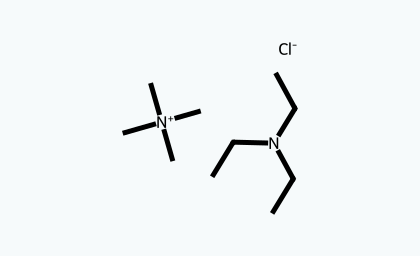 CCN(CC)CC.C[N+](C)(C)C.[Cl-]